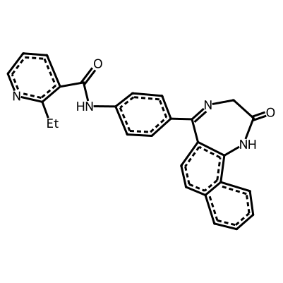 CCc1ncccc1C(=O)Nc1ccc(C2=NCC(=O)Nc3c2ccc2ccccc32)cc1